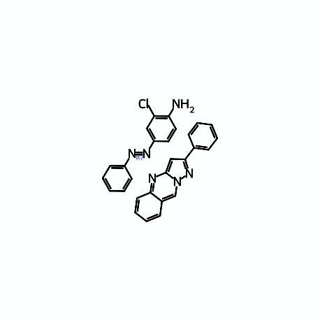 Nc1ccc(/N=N/c2ccccc2)cc1Cl.c1ccc(-c2cc3nc4ccccc4cn3n2)cc1